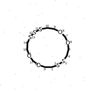 C1CSSCCOCOCCSSSCCOCO1